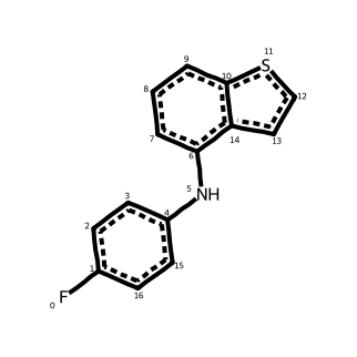 Fc1ccc(Nc2cccc3s[c]cc23)cc1